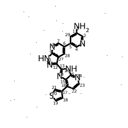 Nc1cncc(-c2cnc3[nH]nc(-c4nc5c(-c6ccsc6)ccnc5[nH]4)c3c2)c1